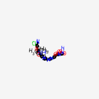 CC1(C)C(NC(=O)c2ccc(N3CCC(CN4CCN(c5ccc6c7c(oc6c5)C(=O)N(C5CCC(=O)NC5=O)C7)CC4)CC3)cc2)C(C)(C)C1Oc1ccc(C#N)c(Cl)c1